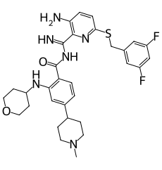 CN1CCC(c2ccc(C(=O)NC(=N)c3nc(SCc4cc(F)cc(F)c4)ccc3N)c(NC3CCOCC3)c2)CC1